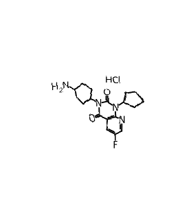 Cl.NC1CCC(n2c(=O)c3cc(F)cnc3n(C3CCCC3)c2=O)CC1